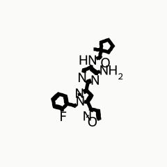 CC1(C(=O)Nc2cnc(-c3cc(-c4ccon4)n(Cc4ccccc4F)n3)nc2N)CCCC1